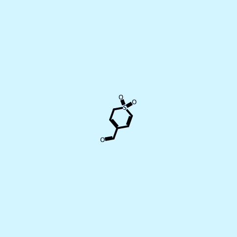 O=CC1=CCS(=O)(=O)C=C1